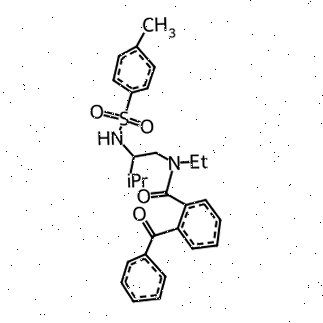 CCN(CC(NS(=O)(=O)c1ccc(C)cc1)C(C)C)C(=O)c1ccccc1C(=O)c1ccccc1